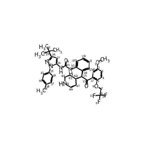 COc1ccc(OCC(F)(F)F)c(C(=O)C(c2ccccc2NC(=O)Nc2cc(C(C)(C)C)nn2-c2ccc(C)cc2)C2CCNCC2)c1